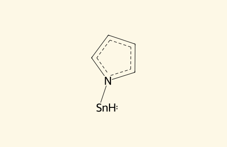 [SnH][n]1cccc1